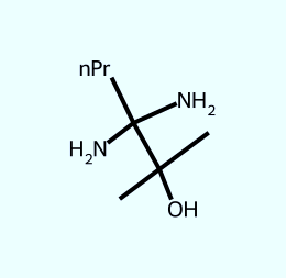 CCCC(N)(N)C(C)(C)O